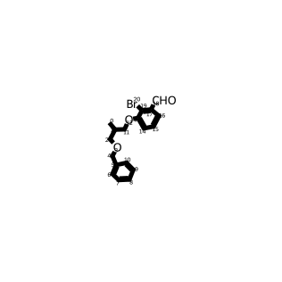 CC(COCc1ccccc1)COc1cccc(C=O)c1Br